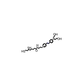 O=C(CCCCC(S)CCS)NCCC[n+]1ccc(/C=C/c2ccc(N(CCO)CCO)cc2)cc1